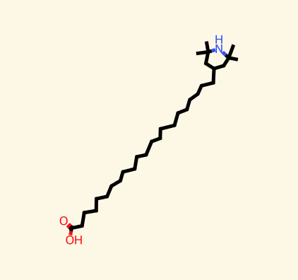 CC1(C)CC(CCCCCCCCCCCCCCCCCCCCCC(=O)O)CC(C)(C)N1